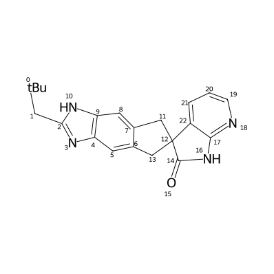 CC(C)(C)Cc1nc2cc3c(cc2[nH]1)CC1(C3)C(=O)Nc2ncccc21